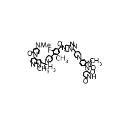 CNc1ccn(-c2ccnc3c2cc([C@H](C)N2CC=C(c4c(C)cc(C(=O)N5CCn6c(nnc6C6CCN(c7ccc8c(c7)n(C)c(=O)n8C7CCC(=O)NC7=O)CC6)C5)cc4F)CC2)n3C)c(=O)c1